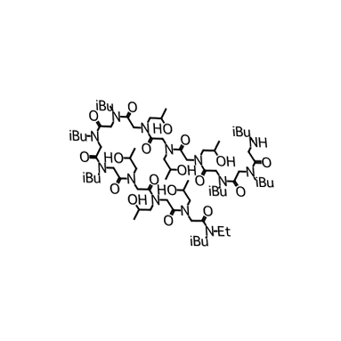 CCC(C)NCC(=O)N(CC(=O)N(CC(=O)N(CC(=O)N(CC(=O)N(CC(=O)N(CC(=O)N(CC(=O)N(CC(=O)N(CC(=O)N(CC(=O)N(CC(=O)N(CC)C(C)CC)CC(C)O)CC(C)O)CC(C)O)C(C)CC)C(C)CC)C(C)CC)CC(C)O)CC(C)O)CC(C)O)C(C)CC)C(C)CC